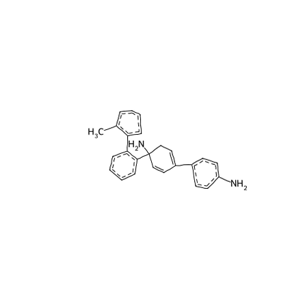 Cc1ccccc1-c1ccccc1C1(N)C=CC(c2ccc(N)cc2)=CC1